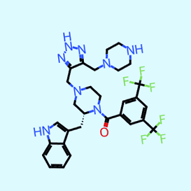 O=C(c1cc(C(F)(F)F)cc(C(F)(F)F)c1)N1CCN(Cc2n[nH]nc2CN2CCNCC2)C[C@H]1Cc1c[nH]c2ccccc12